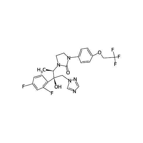 C[C@@H](N1CCN(c2ccc(OCC(F)(F)F)cc2)C1=O)[C@](O)(Cn1cncn1)c1ccc(F)cc1F